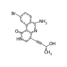 C[C@H](O)C#Cc1c[nH]c(=O)c2c1nc(N)c1ccc(Br)cc12